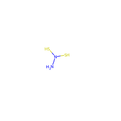 NN(S)S